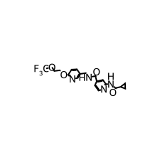 O=C(NCc1ccc(OCCOC(F)(F)F)nc1)c1ccnc(NC(=O)C2CC2)c1